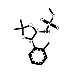 COS(=O)(=O)N[C@@H]1OC(C)(C)O[C@@H]1c1ccccc1C